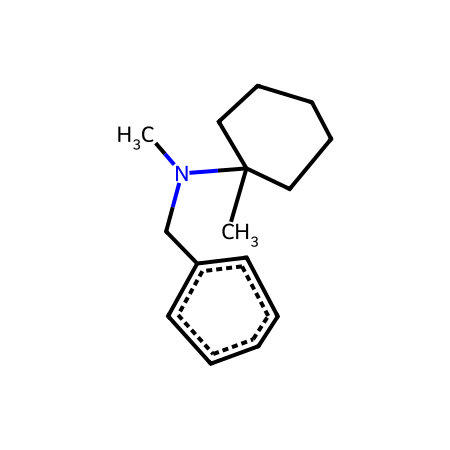 CN(Cc1ccccc1)C1(C)CCCCC1